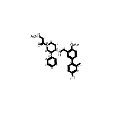 COc1ccc(-c2ccc(Cl)cc2C)cc1CN[C@H]1CCN(C(=O)CNC(C)=O)C[C@H]1c1ccccc1